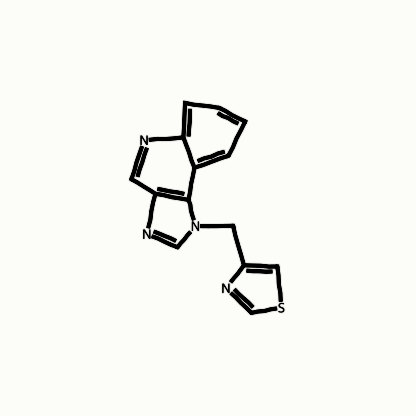 c1ccc2c(c1)ncc1ncn(Cc3cscn3)c12